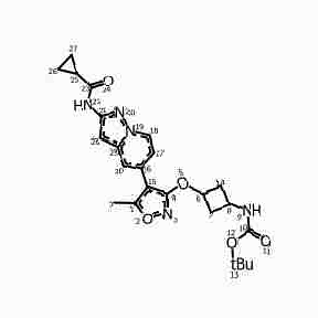 Cc1onc(OC2CC(NC(=O)OC(C)(C)C)C2)c1-c1ccn2nc(NC(=O)C3CC3)cc2c1